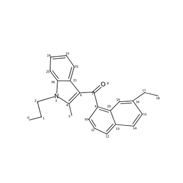 CCCn1c(C)c(C(=O)c2cccc3ccc(CC)cc23)c2ccccc21